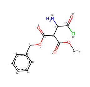 COC(=O)C(C(=O)OCc1ccccc1)C(N)C(=O)Cl